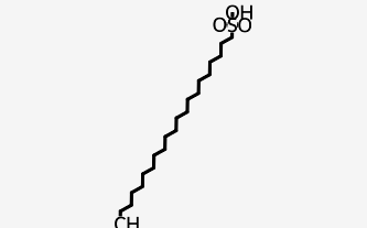 CCCCCCCCCCCCCCCCCCCCCS(=O)(=O)O